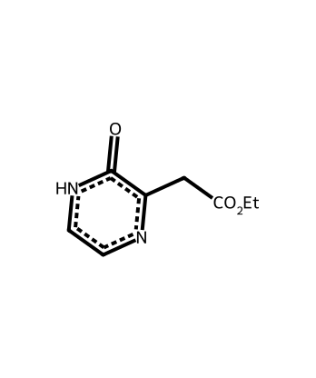 CCOC(=O)Cc1ncc[nH]c1=O